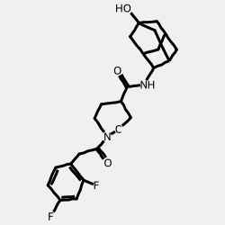 O=C(NC1C2CC3CC1CC(O)(C3)C2)C1CCN(C(=O)Cc2ccc(F)cc2F)CC1